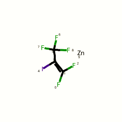 FC(F)=C(I)C(F)(F)F.[Zn]